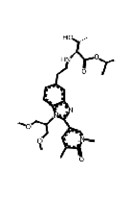 COCC(COC)n1c(-c2cc(C)c(=O)n(C)c2)nc2cc(CCN[C@H](C(=O)OC(C)C)[C@@H](C)O)ccc21